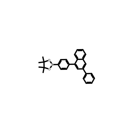 CC1(C)OB(c2ccc(-c3cc(-c4ccccc4)cc4ccccc34)cc2)OC1(C)C